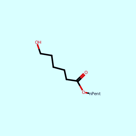 [CH2]CCCCOC(=O)CCCCCO